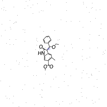 CCO/C(=C1/C(=O)Nc2cc(C(=O)OC)c(C)cc21)c1ccccc1